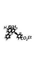 CCOC(=O)c1ccc(C#Cc2ccc3c(c2)C(c2ccccc2)=CCC3(C)C)cc1